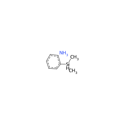 C[SiH](C)c1ccccc1.N